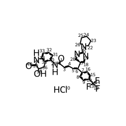 Cl.O=C(C=CC=C(c1ccc(C(F)(F)F)cc1)c1cnc(N2CCCCC2)nc1)Nc1cccc2c1CC(O)C(=O)N2